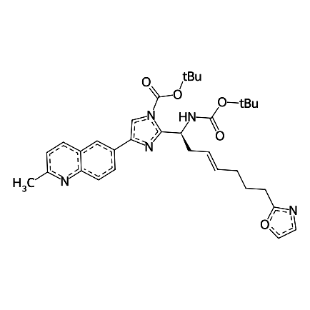 Cc1ccc2cc(-c3cn(C(=O)OC(C)(C)C)c([C@H](C/C=C/CCCc4ncco4)NC(=O)OC(C)(C)C)n3)ccc2n1